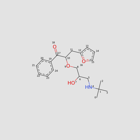 CC(C)(C)NCC(O)COC(Cc1ccco1)C(=O)c1ccccc1